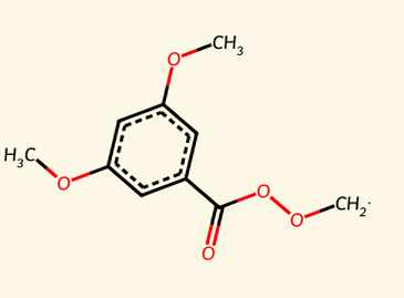 [CH2]OOC(=O)c1cc(OC)cc(OC)c1